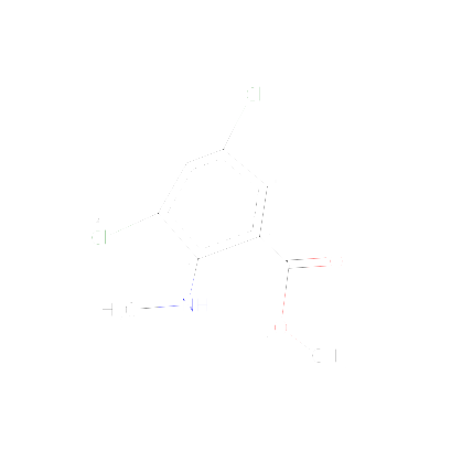 CNc1c(Cl)cc(Cl)cc1C(=O)OC